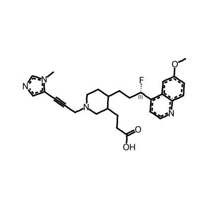 COc1ccc2nccc([C@@H](F)CCC3CCN(CC#Cc4cncn4C)CC3CCC(=O)O)c2c1